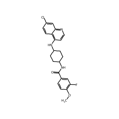 COc1ccc(C(=O)NC2CCC(Nc3ccnc4cc(Cl)ccc34)CC2)cc1F